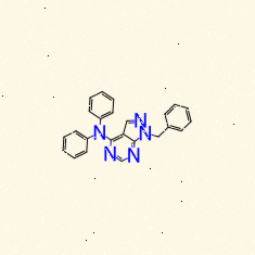 c1ccc(Cn2ncc3c(N(c4ccccc4)c4ccccc4)ncnc32)cc1